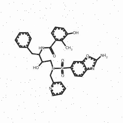 Cc1c(O)cccc1C(=O)NC(Cc1ccccc1)C(O)CN(Cc1ccccn1)S(=O)(=O)c1ccc2nc(N)oc2c1